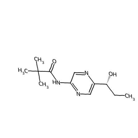 CC[C@@H](O)c1cnc(NC(=O)C(C)(C)C)cn1